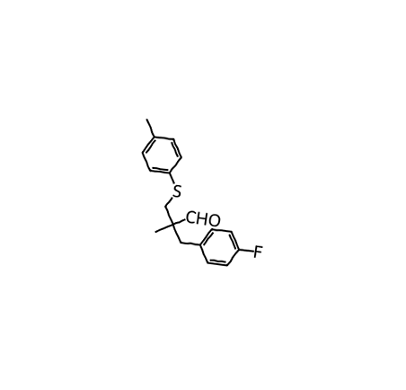 Cc1ccc(SCC(C)(C=O)Cc2ccc(F)cc2)cc1